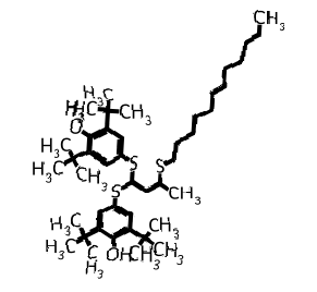 CCCCCCCCCCCCSC(C)CC(Sc1cc(C(C)(C)C)c(O)c(C(C)(C)C)c1)Sc1cc(C(C)(C)C)c(O)c(C(C)(C)C)c1